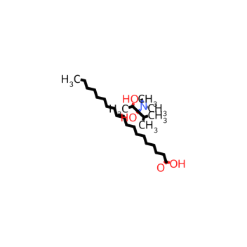 CC(C)C(O)(C(C)O)N(C)C.CCCCCCCCC=CCCCCCCCCC(=O)O